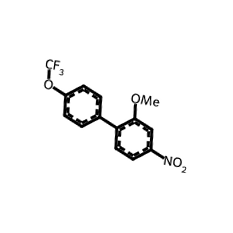 COc1cc([N+](=O)[O-])ccc1-c1ccc(OC(F)(F)F)cc1